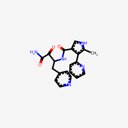 Cc1[nH]cc(C(=O)NC(Cc2ccncc2)C(=O)C(N)=O)c1-c1ccccn1